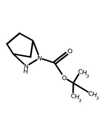 CC(C)(C)OC(=O)N1NC2CCC1C2